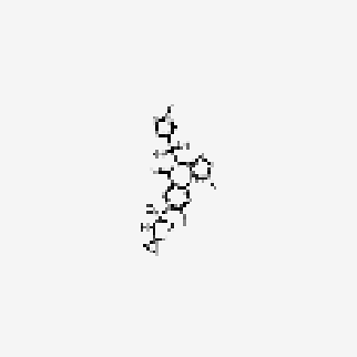 [2H]C([2H])(c1cnn(C)c1)N1C(=O)c2cc(S(=O)(=O)NC3(C)CC3)c(F)cc2N2C1=NC[C@H]2C